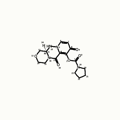 O=C(Oc1c2n(ccc1=O)N[C@@H]1COCCN1C2=O)N1CCCC1